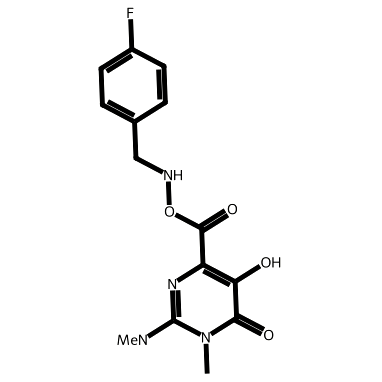 CNc1nc(C(=O)ONCc2ccc(F)cc2)c(O)c(=O)n1C